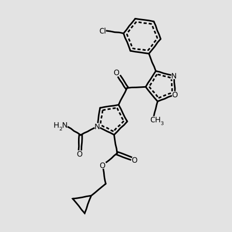 Cc1onc(-c2cccc(Cl)c2)c1C(=O)c1cc(C(=O)OCC2CC2)n(C(N)=O)c1